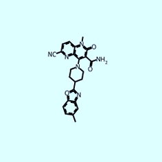 Cc1ccc2oc(C3CCN(c4c(C(N)=O)c(=O)n(C)c5ccc(C#N)nc45)CC3)nc2c1